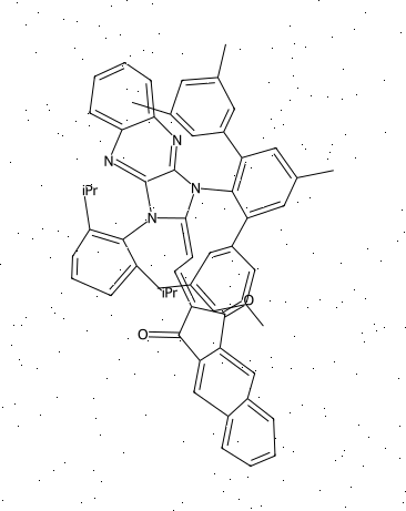 Cc1cc(C)cc(-c2cc(C)cc(-c3cc(C)cc(C)c3)c2N2/C(=C/C=C3C(=O)c4cc5ccccc5cc4C3=O)N(c3c(C(C)C)cccc3C(C)C)c3nc4ccccc4nc32)c1